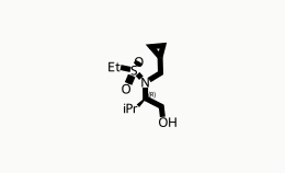 CCS(=O)(=O)N(CC1CC1)[C@@H](CO)C(C)C